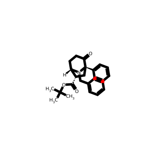 CC(C)(C)OC(=O)[C@H]1C[C@@]2(c3ccccc3)C(=O)CC[C@@H]1N2Cc1ccccc1